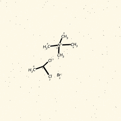 CC(Cl)Cl.C[N+](C)(C)C.[Br-]